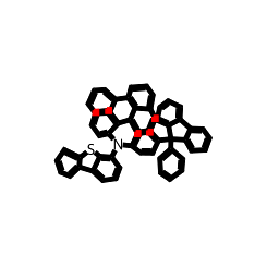 c1ccc(-c2cccc3cccc(-c4ccccc4N(c4ccc(C5(c6ccccc6)c6ccccc6-c6ccccc65)cc4)c4cccc5c4sc4ccccc45)c23)cc1